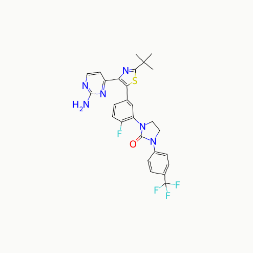 CC(C)(C)c1nc(-c2ccnc(N)n2)c(-c2ccc(F)c(N3CCN(c4ccc(C(F)(F)F)cc4)C3=O)c2)s1